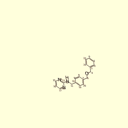 c1ccc(COCc2ccc(CNc3ncccn3)cc2)cc1